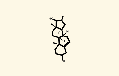 C[C@]12CCC(O)CC1=CC[C@@H]1[C@H]2CC[C@]2(C)C(O)C(F)C[C@@H]12